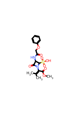 COC(=O)C(=C(C)C)N1C(=O)C(NC(=O)COc2ccccc2)C1S(=O)(=O)O